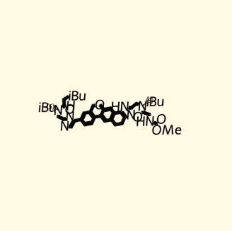 CCC(C)CC(=O)N(Cc1ncc(-c2ccc3c(c2)COc2cc4c(cc2-3)CCc2nc(CN(C(=O)CNC(=O)OC)[C@@H](C)CC)[nH]c2-4)[nH]1)[C@@H](C)CC